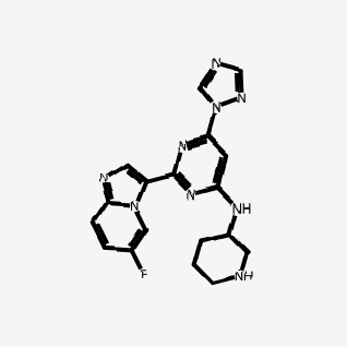 Fc1ccc2ncc(-c3nc(NC4CCCNC4)cc(-n4cncn4)n3)n2c1